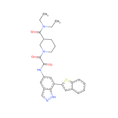 CCN(CC)C(=O)C1CCCN(C(=O)C(=O)Nc2cc(-c3cc4ccccc4s3)c3[nH]ncc3c2)C1